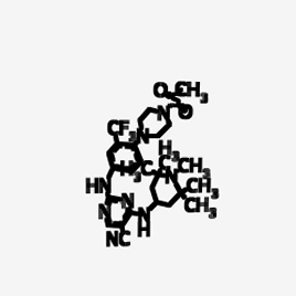 [C-]#[N+]c1cnc(Nc2ccc(N3CCN(S(C)(=O)=O)CC3)c(C(F)(F)F)c2)nc1NC1CC(C)(C)N(C)C(C)(C)C1